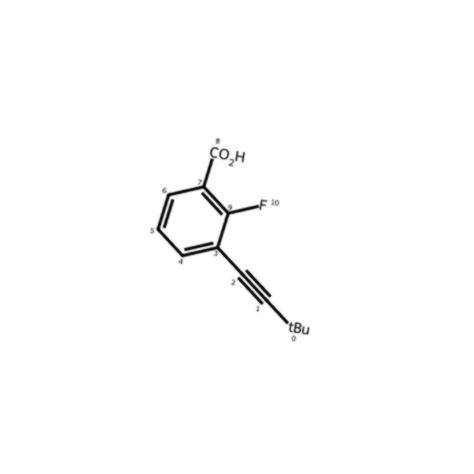 CC(C)(C)C#Cc1cccc(C(=O)O)c1F